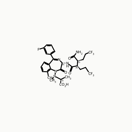 Cc1cccc2c1N(N(C)[C@@H](C)C(=O)O)C(=O)[C@@H](NC(=O)[C@H](CCC(F)(F)F)[C@H](CCC(F)(F)F)C(N)=O)N=C2c1cccc(F)c1